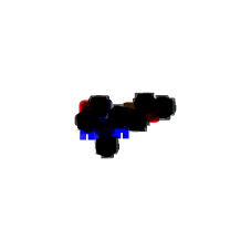 C1=Cc2c(oc3cccc(C4NC(c5ccccc5)NC(c5ccc6sc7c(-c8cccc9c8oc8ccccc89)cccc7c6c5)N4)c23)CC1